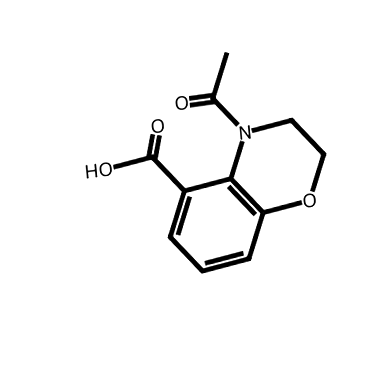 CC(=O)N1CCOc2cccc(C(=O)O)c21